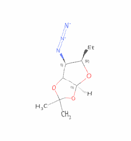 CC[C@H]1O[C@H]2OC(C)(C)OC2[C@H]1N=[N+]=[N-]